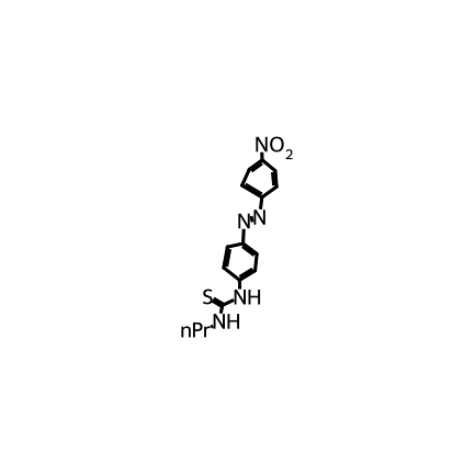 CCCNC(=S)Nc1ccc(N=Nc2ccc([N+](=O)[O-])cc2)cc1